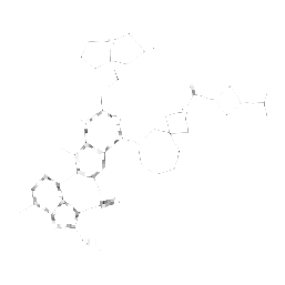 N#Cc1c(N)sc2c(F)ccc(-c3c(Cl)cc4c(N5CCCCC6(CN(C(=O)N7CC(C(F)F)C7)C6)C5)nc(OC[C@@]56CCCN5C[C@H](F)C6)nc4c3F)c12